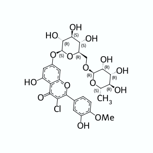 COc1ccc(-c2oc3cc(O[C@@H]4O[C@H](CO[C@@H]5O[C@@H](C)[C@H](O)[C@@H](O)[C@H]5O)[C@@H](O)[C@H](O)[C@H]4O)cc(O)c3c(=O)c2Cl)cc1O